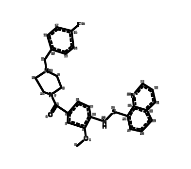 COc1cc(C(=O)N2CCN(Cc3ccc(F)cc3)CC2)ccc1NSc1cccc2cccnc12